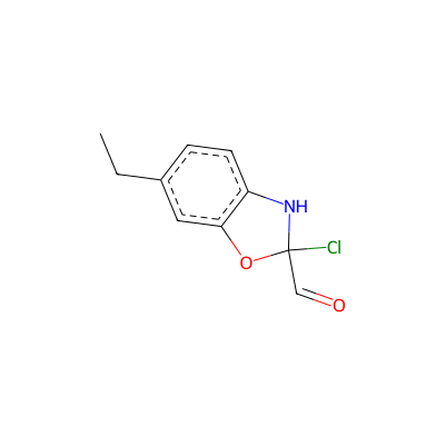 CCc1ccc2c(c1)OC(Cl)(C=O)N2